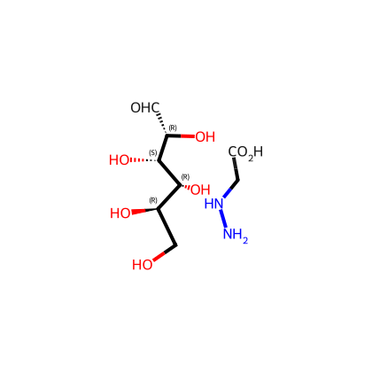 NNCC(=O)O.O=C[C@H](O)[C@@H](O)[C@H](O)[C@H](O)CO